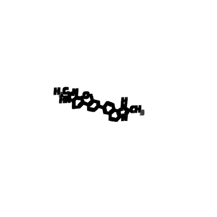 Cc1nc2c3c(ccc2[nH]1)-c1ccc(-c2ccc4c(ccc5nc(C)[nH]c54)c2)cc1CO3